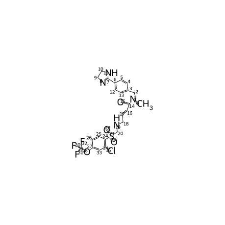 CN(Cc1ccc(C2=NCCN2)cc1)C(=O)C=CCNCS(=O)(=O)c1ccc(OC(F)(F)F)cc1Cl